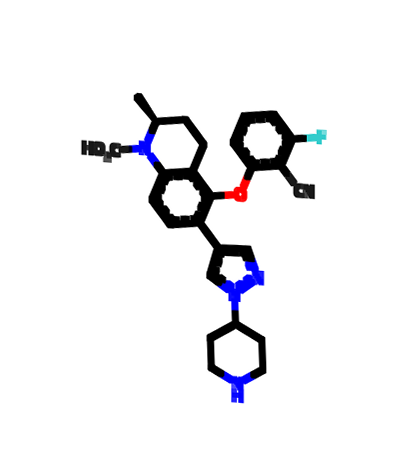 C[C@H]1CCc2c(ccc(-c3cnn(C4CCNCC4)c3)c2Oc2cccc(F)c2C#N)N1C(=O)O